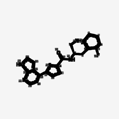 NC[C@@H](Cc1ccccc1F)NC(=O)c1ccc(-c2ccnc3[nH]ccc23)s1